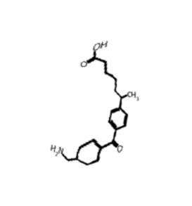 CC(CCCCC(=O)O)c1ccc(C(=O)C2CCC(CN)CC2)cc1